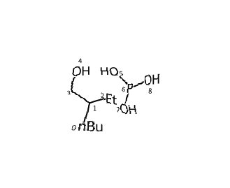 CCCCC(CC)CO.OP(O)O